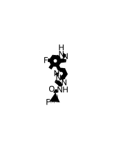 Cc1c(F)cc2[nH]ncc2c1-c1ccc2nc(NC(=O)[C@@H]3C[C@@H]3F)cn2n1